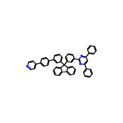 c1ccc(-c2cc(-c3ccccc3)nc(-c3cccc(C4(c5cccc(-c6ccc(-c7ccncc7)cc6)c5)c5ccccc5-c5ccccc54)c3)n2)cc1